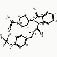 O=C(NCc1ccc(OC(F)(F)F)cc1)C1c2ccccc2C(=O)N1C1CCN(C(=O)O)CC1